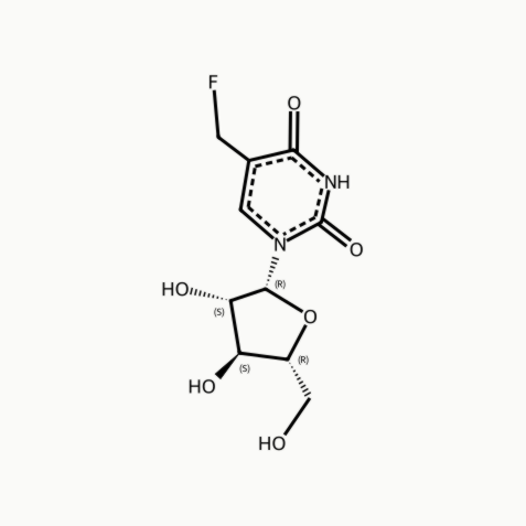 O=c1[nH]c(=O)n([C@@H]2O[C@H](CO)[C@@H](O)[C@@H]2O)cc1CF